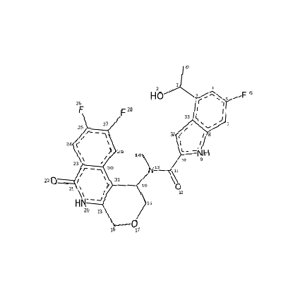 CC(O)c1cc(F)cc2[nH]c(C(=O)N(C)C3COCc4[nH]c(=O)c5cc(F)c(F)cc5c43)cc12